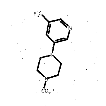 O=C(O)N1CCN(c2cncc(C(F)(F)F)c2)CC1